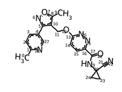 Cc1ccc(-c2noc(C)c2COc2ccc(C(=O)NC3(C#N)CC3)nn2)cn1